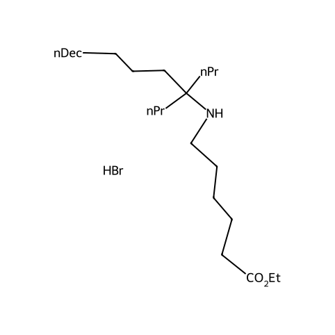 Br.CCCCCCCCCCCCCC(CCC)(CCC)NCCCCCC(=O)OCC